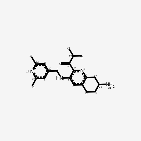 C=C(c1nc2c(cc1NCc1cc(C)nc(C)c1)CCC(N)C2)C(C)C